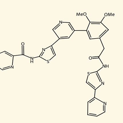 COc1cc(CC(=O)Nc2nc(-c3ccccn3)cs2)cc(-c2cncc(-c3csc(NC(=O)c4ccccn4)n3)c2)c1OC